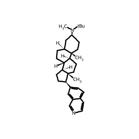 CN([C@H]1CC[C@@]2(C)[C@@H](CC[C@@H]3[C@@H]2CC[C@]2(C)[C@@H](c4ccc5ccncc5c4)CC[C@@H]32)C1)C(C)(C)C